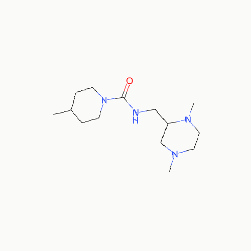 CC1CCN(C(=O)NCC2CN(C)CCN2C)CC1